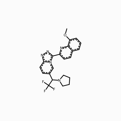 COc1cccc2ccc(-c3nnc4ccc(C(N5CCCC5)C(F)(F)F)cn34)nc12